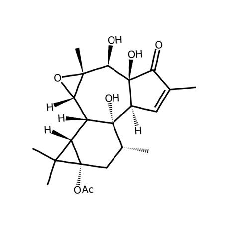 CC(=O)O[C@@]12C[C@@H](C)[C@@]3(O)[C@@H]([C@@H]4O[C@]4(C)[C@@H](O)[C@]4(O)C(=O)C(C)=C[C@H]43)[C@H]1C2(C)C